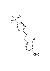 CS(=O)(=O)c1ccc(COc2ccc(C=O)cc2C#N)cc1